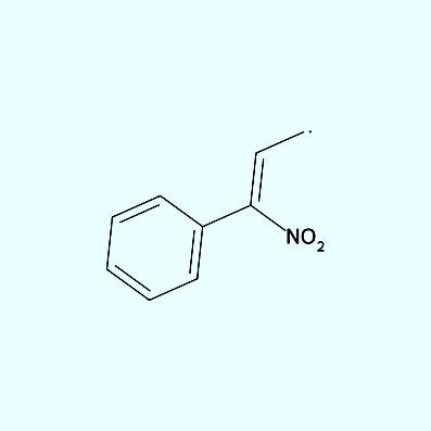 [CH2]C=C(c1ccccc1)[N+](=O)[O-]